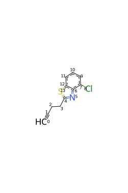 C#CCCc1nc2c(Cl)cccc2s1